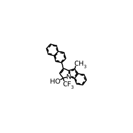 Cc1c2n(c3ccccc13)C(O)(C(F)(F)F)C=C2c1ccc2ccccc2c1